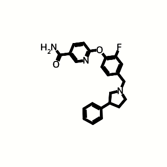 NC(=O)c1ccc(Oc2ccc(CN3CCC(c4ccccc4)C3)cc2F)nc1